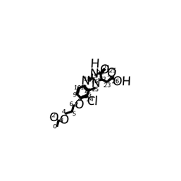 CC(=O)OCCCOc1ccc2c(c1Cl)CN1C(=N2)NC(=O)C1CC(=O)O